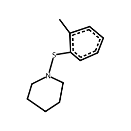 Cc1ccccc1SN1CCCCC1